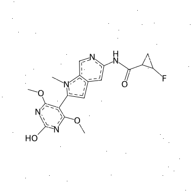 COc1nc(O)nc(OC)c1-c1cc2cc(NC(=O)C3CC3F)ncc2n1C